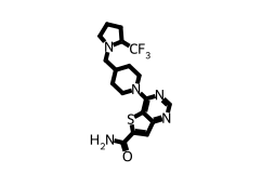 NC(=O)c1cc2ncnc(N3CCC(CN4CCCC4C(F)(F)F)CC3)c2s1